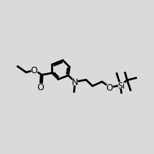 CCOC(=O)c1cccc(N(C)CCCO[Si](C)(C)C(C)(C)C)c1